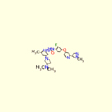 Cc1cc(NC(=O)Nc2ccc(Oc3ccnc(-c4cnn(C)c4)c3)cc2F)cc(N2CCC(N(C)C)C2)c1